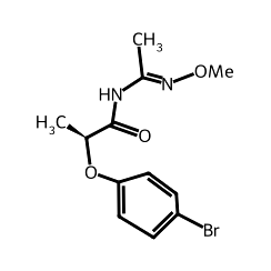 CON=C(C)NC(=O)[C@H](C)Oc1ccc(Br)cc1